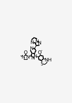 COc1cc2c(cc1-n1nc(N3CCN(C)C3=O)c3cnc(-c4cnn5cccnc45)cc31)SCCN2